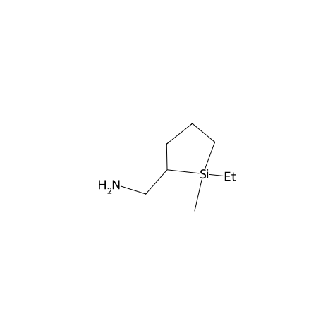 CC[Si]1(C)CCCC1CN